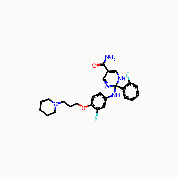 NC(=O)C1=CNC(Nc2ccc(OCCCN3CCCCC3)c(F)c2)(c2ccccc2F)N=C1